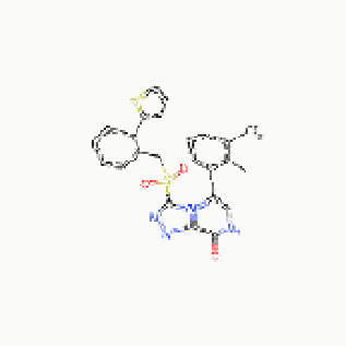 Cc1c(-c2c[nH]c(=O)c3nnc(S(=O)(=O)Cc4ccccc4-c4cccs4)n23)cccc1C(F)(F)F